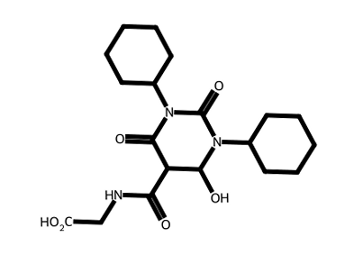 O=C(O)CNC(=O)C1C(=O)N(C2CCCCC2)C(=O)N(C2CCCCC2)C1O